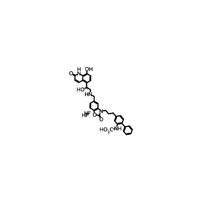 F.F.O=C(O)Nc1cc(CCCn2c(=O)oc3ccc(CNC[C@H](O)c4ccc(O)c5[nH]c(=O)ccc45)cc32)ccc1-c1ccccc1